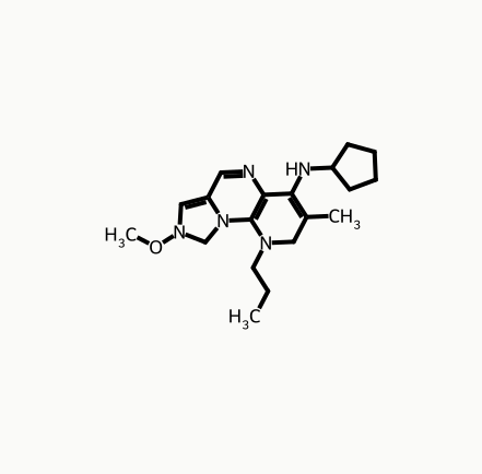 CCCN1CC(C)=C(NC2CCCC2)C2=C1N1CN(OC)C=C1C=N2